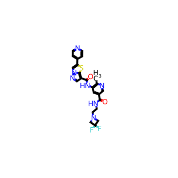 Cc1ncc(C(=O)NCCN2CC(F)(F)C2)cc1NC(=O)c1cnn2cc(-c3ccncc3)sc12